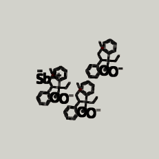 CCCC(c1ccccc1)C(CC)(C(=O)[O-])c1ccccc1.CCCC(c1ccccc1)C(CC)(C(=O)[O-])c1ccccc1.CCCC(c1ccccc1)C(CC)(C(=O)[O-])c1ccccc1.[Sb+3]